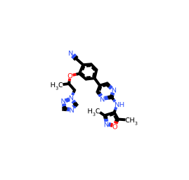 Cc1noc(C)c1Nc1ncc(-c2ccc(C#N)c(OC(C)Cn3cncn3)c2)cn1